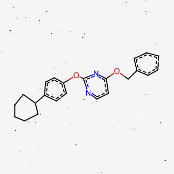 [CH]1CCCCC1c1ccc(Oc2nccc(OCc3ccccc3)n2)cc1